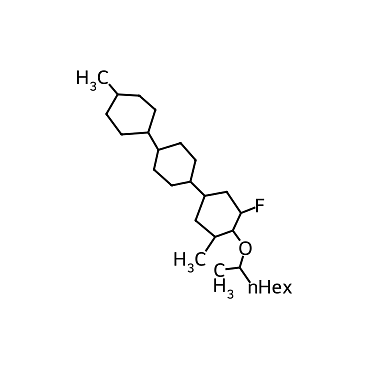 CCCCCCC(C)OC1C(C)CC(C2CCC(C3CCC(C)CC3)CC2)CC1F